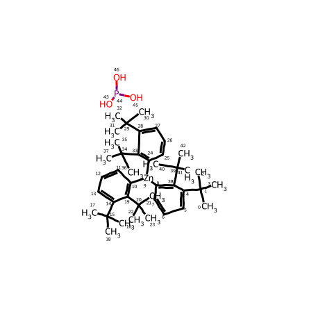 CC(C)(C)c1ccc[c]([Zn]([c]2cccc(C(C)(C)C)c2C(C)(C)C)[c]2cccc(C(C)(C)C)c2C(C)(C)C)c1C(C)(C)C.OP(O)O